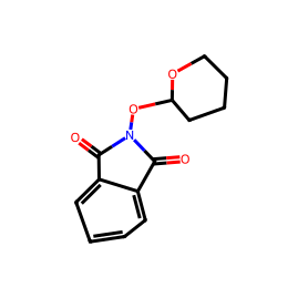 O=C1c2ccccc2C(=O)N1OC1CCCCO1